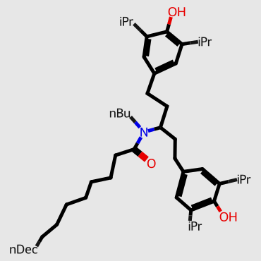 CCCCCCCCCCCCCCCCCC(=O)N(CCCC)C(CCc1cc(C(C)C)c(O)c(C(C)C)c1)CCc1cc(C(C)C)c(O)c(C(C)C)c1